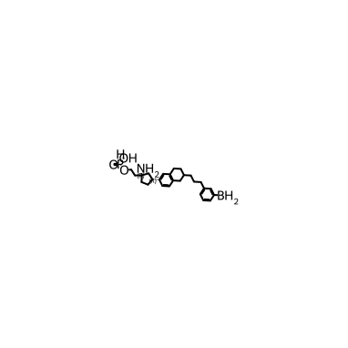 Bc1cccc(CCCC2CCc3cc([C@@H]4CC[C@](N)(CCO[PH](=O)O)C4)ccc3C2)c1